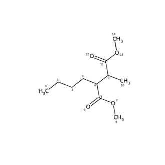 CCCCC(C(=O)OC)C(C)C(=O)OC